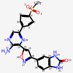 CC(C)S(=O)(=O)c1ccc(-c2cnc(N)c(-c3cc(-c4ccc5[nH]c(=O)[nH]c5c4)no3)n2)cc1